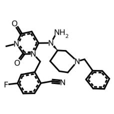 Cn1c(=O)cc(N(N)[C@@H]2CCCN(Cc3ccccc3)C2)n(Cc2cc(F)ccc2C#N)c1=O